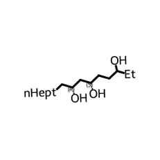 CCCCCCCC[C@@H](O)C[C@@H](O)CCC(O)CC